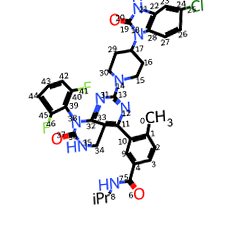 Cc1ccc(C(=O)NC(C)C)cc1-c1nc(N2CCC(n3c(=O)[nH]c4cc(Cl)ccc43)CC2)nc2c1CNC(=O)N2c1c(F)cccc1F